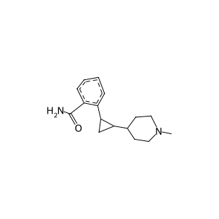 CN1CCC(C2CC2c2ccccc2C(N)=O)CC1